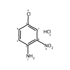 Cl.Nc1ccc(Cl)cc1[N+](=O)[O-]